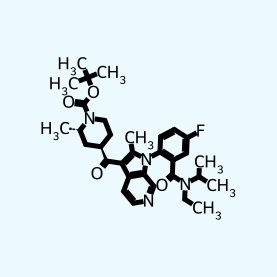 CCN(C(=O)c1cc(F)ccc1-n1c(C)c(C(=O)[C@@H]2CCN(C(=O)OC(C)(C)C)[C@@H](C)C2)c2ccncc21)C(C)C